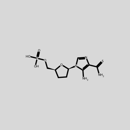 NC(=S)c1ncn([C@H]2CC[C@@H](COP(=O)(O)O)O2)c1N